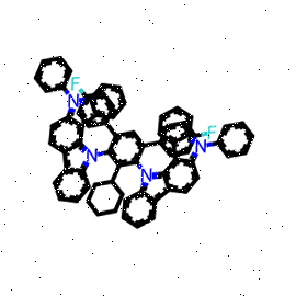 Fc1ccc(-c2cc(-c3ccc(F)cc3)c(-n3c4ccccc4c4ccc5c(c6ccccc6n5-c5ccccc5)c43)c(C3CCCCC3)c2-n2c3ccccc3c3ccc4c(c5ccccc5n4-c4ccccc4)c32)cc1